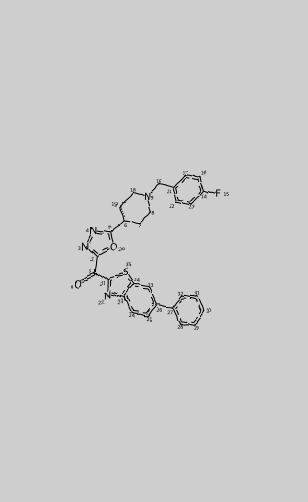 O=C(c1nnc(C2CCN(Cc3ccc(F)cc3)CC2)o1)c1nc2ccc(-c3ccccc3)cc2s1